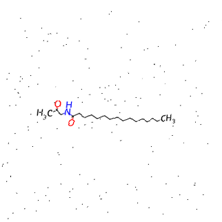 CCCCCCCCCCCCCCCC(=O)NCC(C)=O